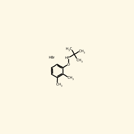 Br.Cc1cccc(OPC(C)(C)C)c1C